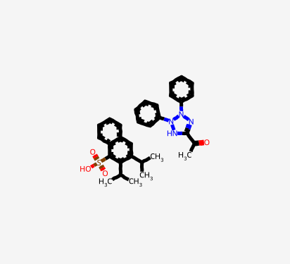 CC(=O)C1=NN(c2ccccc2)N(c2ccccc2)N1.CC(C)c1cc2ccccc2c(S(=O)(=O)O)c1C(C)C